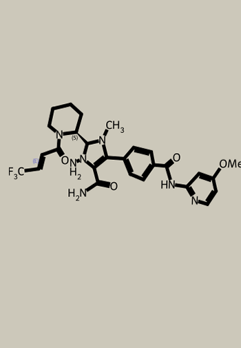 COc1ccnc(NC(=O)c2ccc(C3=C(C(N)=O)N(N)C([C@@H]4CCCCN4C(=O)/C=C/C(F)(F)F)N3C)cc2)c1